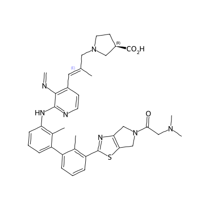 C=Nc1c(/C=C(\C)CN2CC[C@@H](C(=O)O)C2)ccnc1Nc1cccc(-c2cccc(-c3nc4c(s3)CN(C(=O)CN(C)C)C4)c2C)c1C